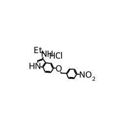 CCNc1c[nH]c2ccc(OCc3ccc([N+](=O)[O-])cc3)cc12.Cl